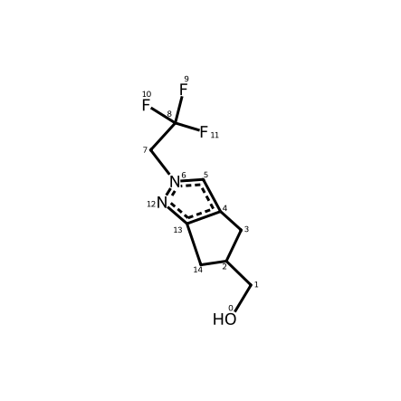 OCC1Cc2cn(CC(F)(F)F)nc2C1